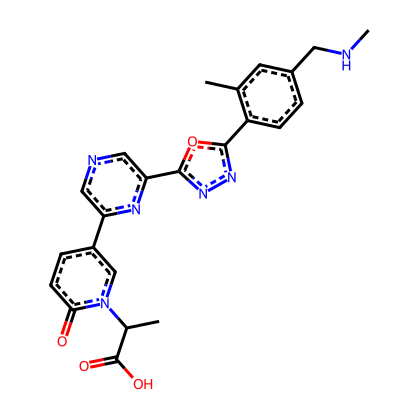 CNCc1ccc(-c2nnc(-c3cncc(-c4ccc(=O)n(C(C)C(=O)O)c4)n3)o2)c(C)c1